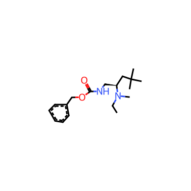 CCN(C)[C@@H](CNC(=O)OCc1ccccc1)CC(C)(C)C